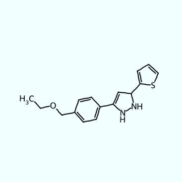 CCOCc1ccc(C2=CC(c3cccs3)NN2)cc1